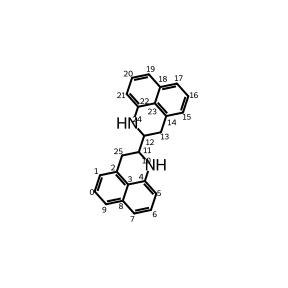 c1cc2c3c(cccc3c1)NC(C1Cc3cccc4cccc(c34)N1)C2